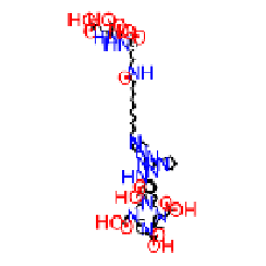 O=C(O)CC[C@H](NC(=O)N[C@@H](CCCCNC(=O)CCCCCCCCCCN1CCN(c2nc(Nc3ccc(CC4CN(CC(=O)O)CCN(CC(=O)O)CCN(CC(=O)O)CCN4CC(=O)O)cc3)nc(N3CCCCC3)n2)CC1)C(=O)O)C(=O)O